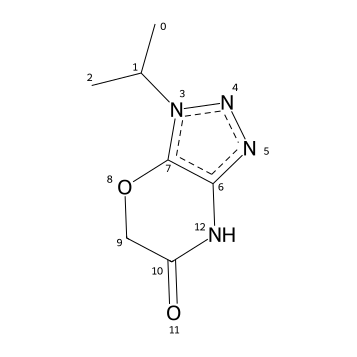 CC(C)n1nnc2c1OCC(=O)N2